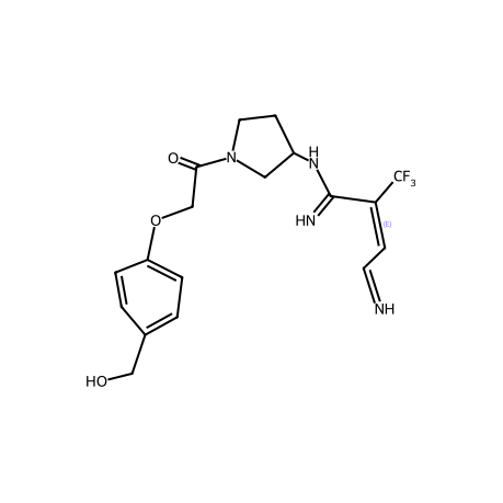 N=C/C=C(\C(=N)NC1CCN(C(=O)COc2ccc(CO)cc2)C1)C(F)(F)F